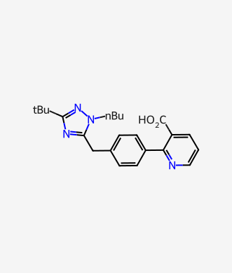 CCCCn1nc(C(C)(C)C)nc1Cc1ccc(-c2ncccc2C(=O)O)cc1